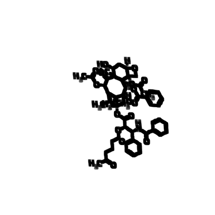 CC(=O)CCCC(=O)O[C@@H](C(=O)O[C@H]1C[C@@]2(O)[C@@H](OC(=O)c3ccccc3)[C@@H]3[C@]4(OC(C)=O)CO[C@@H]4C[C@H](O)[C@@]3(C)C(=O)[C@H](OC(C)=O)C(=C1C)C2(C)C)[C@@H](NC(=O)c1ccccc1)c1ccccc1